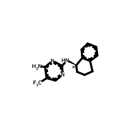 Nc1nc(N[C@@H]2CCCc3ccccc32)ncc1C(F)(F)F